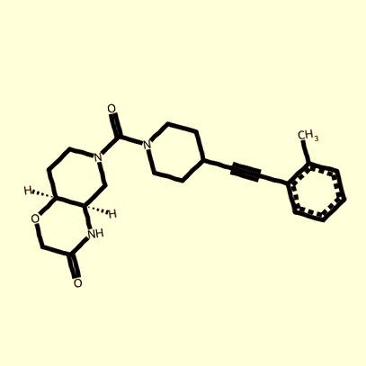 Cc1ccccc1C#CC1CCN(C(=O)N2CC[C@@H]3OCC(=O)N[C@@H]3C2)CC1